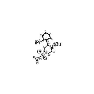 CC(C)c1ccccc1C1CN(S(=O)(=O)C2CC2)CCN1C(C)(C)C